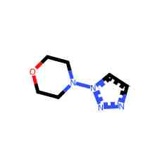 [c]1cn(N2CCOCC2)nn1